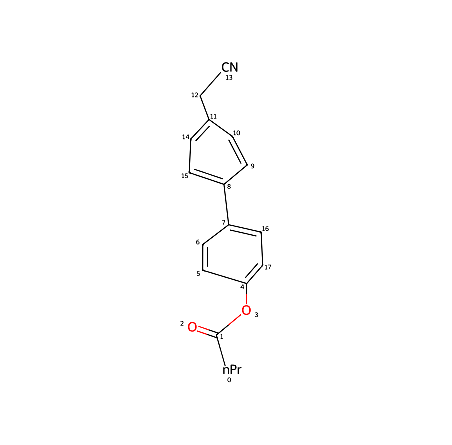 CCCC(=O)Oc1ccc(-c2ccc(CC#N)cc2)cc1